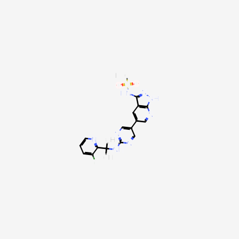 CC(C)(Nc1ncc(-c2cnc3[nH]nc(NS(C)(=O)=O)c3c2)cn1)c1ncccc1Cl